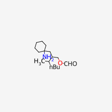 CCCCC(C)C(COC=O)CC1(N)CCCCC1